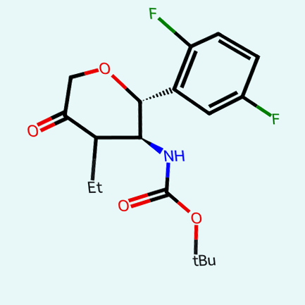 CCC1C(=O)CO[C@H](c2cc(F)ccc2F)[C@H]1NC(=O)OC(C)(C)C